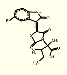 CCC(C)C(C)(C(=O)O)N1C(=O)/C(=C2\C(=O)Nc3ccc(Br)cc32)SC1=S